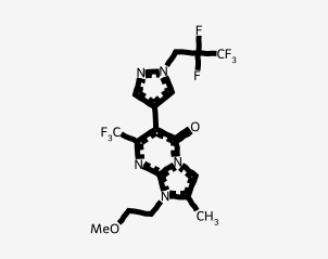 COCCn1c(C)cn2c(=O)c(-c3cnn(CC(F)(F)C(F)(F)F)c3)c(C(F)(F)F)nc12